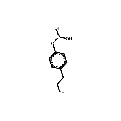 OCCc1ccc(OP(O)O)cc1